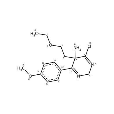 CCOCCC1(N)C(Cl)=NCN=C1c1ccc(OC)cc1